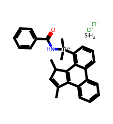 CC1=CC(C)c2c1c1ccccc1c1ccc[c]([Ti+2]([CH3])([CH3])[NH]C(=O)c3ccccc3)c21.[Cl-].[Cl-].[SiH4]